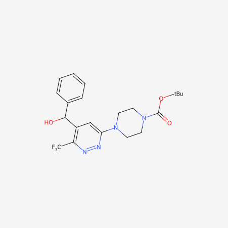 CC(C)(C)OC(=O)N1CCN(c2cc(C(O)c3ccccc3)c(C(F)(F)F)nn2)CC1